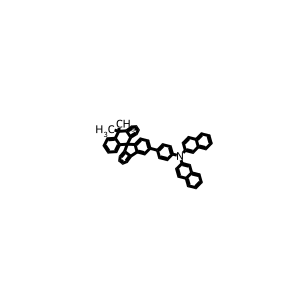 CC1(C)c2ccccc2C2(c3ccccc3-c3cc(-c4ccc(N(c5ccc6ccccc6c5)c5ccc6ccccc6c5)cc4)ccc32)c2ccccc21